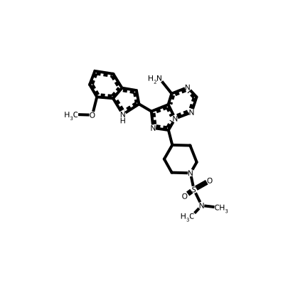 COc1cccc2cc(-c3nc(C4CCN(S(=O)(=O)N(C)C)CC4)n4ncnc(N)c34)[nH]c12